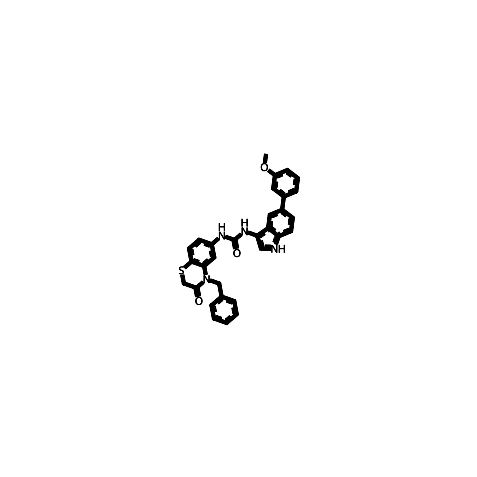 COc1cccc(-c2ccc3[nH]cc(NC(=O)Nc4ccc5c(c4)N(Cc4ccccc4)C(=O)CS5)c3c2)c1